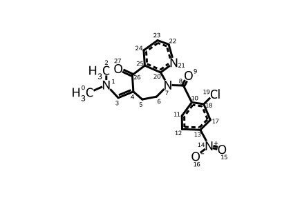 CN(C)C=C1CCN(C(=O)c2ccc([N+](=O)[O-])cc2Cl)c2ncccc2C1=O